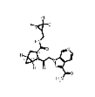 C[C@@H]1C(CNC(=O)[C@@H]2C[C@H]3C[C@H]3N2C(=O)Cn2nc(C(N)=O)c3ccncc32)C1(Cl)Cl